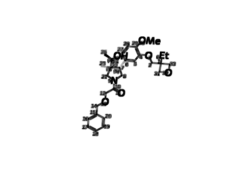 CCC1(COc2cc([C@@H]3CN(C(=O)COCc4ccccc4)C[C@@]3(C)[C@@H](C)O)ccc2OC)COC1